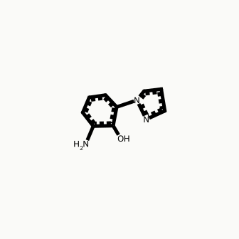 Nc1cccc(-n2cccn2)c1O